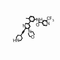 Cc1ccc(NC(=O)c2ccnc(C(F)(F)F)c2)cc1-c1cnc(C#CC2CCNCC2)c(N2CCOCC2)c1